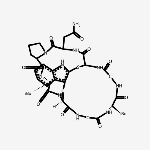 CC[C@H](C)[C@@H]1NC(=O)CNC(=O)[C@@H]2Cc3c([nH]c4ccccc34)SC(NC(=O)CNC1=O)C(=O)NC(CC(N)=O)C(=O)N1CCCC1C(=O)N[C@@H]([C@@H](C)CC)C(=O)N2